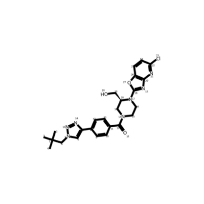 CC(C)(C)Cn1cc(-c2ccc(C(=O)N3CCN(c4nc5nc(Cl)ccc5o4)[C@H](CO)C3)cc2)nn1